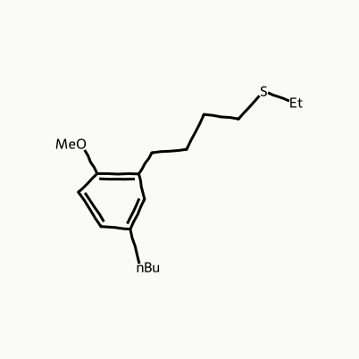 CCCCc1ccc(OC)c(CCCCSCC)c1